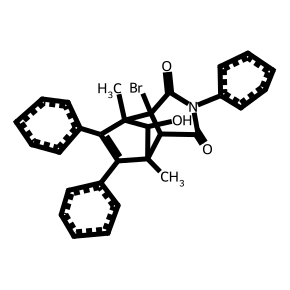 CC12C(c3ccccc3)=C(c3ccccc3)C(C)(C1O)C1(Br)C(=O)N(c3ccccc3)C(=O)C21